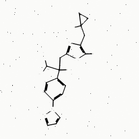 Cc1[nH]c(CC(O)(c2ccc(-n3cccn3)cc2)C(F)F)nc1CC1(C(F)(F)F)CC1